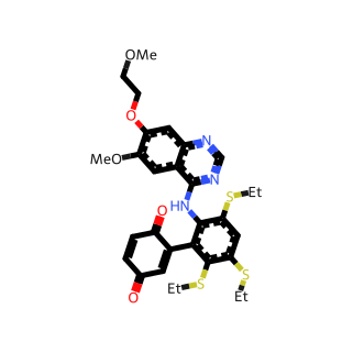 CCSc1cc(SCC)c(SCC)c(C2=CC(=O)C=CC2=O)c1Nc1ncnc2cc(OCCOC)c(OC)cc12